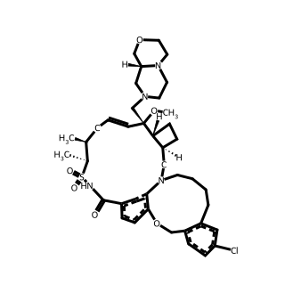 CO[C@@]1(CN2CCN3CCOC[C@H]3C2)/C=C/C[C@H](C)[C@@H](C)S(=O)(=O)NC(=O)c2ccc3c(c2)N(CCCCc2cc(Cl)ccc2CO3)C[C@@H]2CC[C@H]21